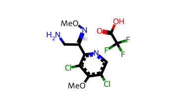 CO/N=C(\CN)c1ncc(Cl)c(OC)c1Cl.O=C(O)C(F)(F)F